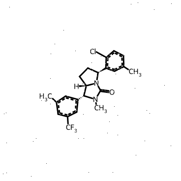 Cc1cc([C@@H]2[C@@H]3CC[C@@H](c4cc(C)ccc4Cl)N3C(=O)N2C)cc(C(F)(F)F)c1